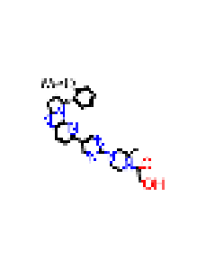 COc1ccccc1[C@H]1CCc2nc3ccc(-c4cnc(N5CCN(C(=O)CO)[C@H](C)C5)nc4)nc3n21